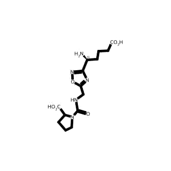 N[C@@H](CCCC(=O)O)c1noc(CNC(=O)N2CCCC2C(=O)O)n1